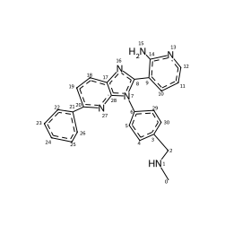 CNCc1ccc(-n2c(-c3cccnc3N)nc3ccc(-c4ccccc4)nc32)cc1